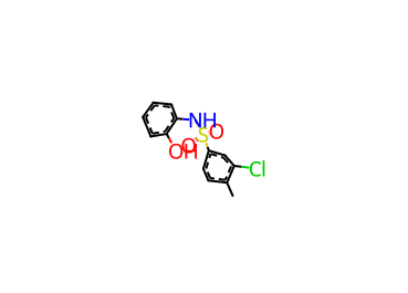 Cc1ccc(S(=O)(=O)Nc2ccccc2O)cc1Cl